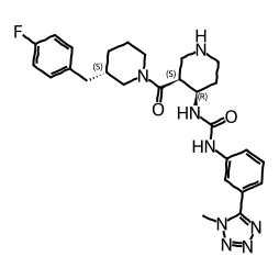 Cn1nnnc1-c1cccc(NC(=O)N[C@@H]2CCNC[C@@H]2C(=O)N2CCC[C@@H](Cc3ccc(F)cc3)C2)c1